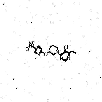 CCc1ncnc(N2CCCC(Oc3ccc([N+](=O)[O-])cn3)C2)c1Cl